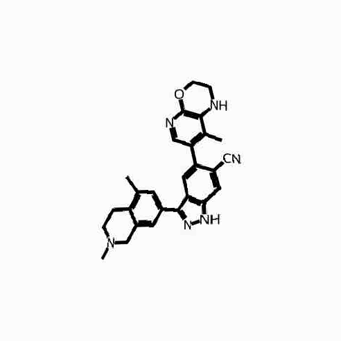 Cc1cc(-c2n[nH]c3cc(C#N)c(-c4cnc5c(c4C)NCCO5)cc23)cc2c1CCN(C)C2